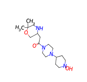 CC1(C)CNC(CC(=O)N2CCN(C3CCN(O)CC3)CC2)CO1